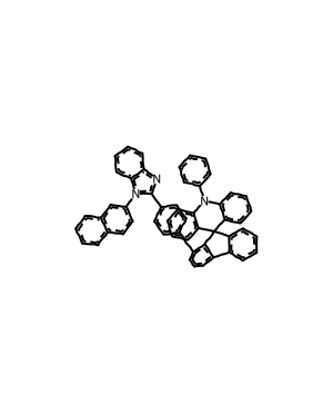 c1ccc(N2c3ccccc3C3(c4ccccc4-c4cccc(-c5ccc(-c6nc7ccccc7n6-c6ccc7ccccc7c6)cc5)c43)c3ccccc32)cc1